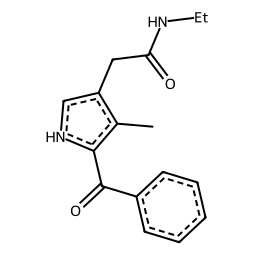 CCNC(=O)Cc1c[nH]c(C(=O)c2ccccc2)c1C